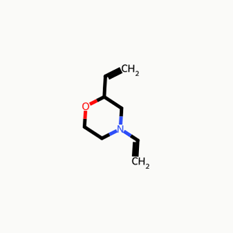 C=CC1CN(C=C)CCO1